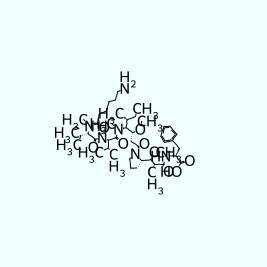 CC[C@H](C)[C@@H]([C@@H](CC(=O)N1CCC[C@H]1[C@H](OC)[C@@H](C)C(=O)N[C@@H](Cc1ccccc1)C(=O)O)OC)N(C)C(=O)[C@@H](NC(=O)[C@H](C(C)C)N(C)C(=O)CCCCCN)C(C)C